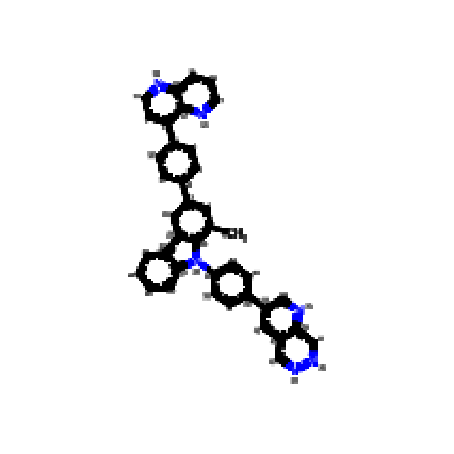 Cc1cc(-c2ccc(-c3ccnc4cccnc34)cc2)cc2c3ccccc3n(-c3ccc(-c4cnc5cnncc5c4)cc3)c12